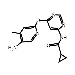 Cc1cc(Oc2cc(NC(=O)C3CC3)ncn2)ncc1N